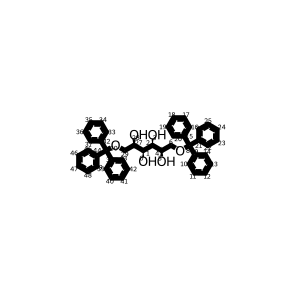 O[C@@H]([C@H](O)[C@H](O)COC(c1ccccc1)(c1ccccc1)c1ccccc1)[C@H](O)COC(c1ccccc1)(c1ccccc1)c1ccccc1